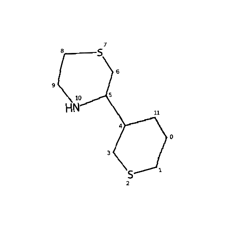 C1CSCC(C2CSCCN2)C1